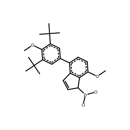 COc1ccc(-c2cc(C(C)(C)C)c(OC)c(C(C)(C)C)c2)c2c1[CH]([Zr]([Cl])[Cl])C=C2